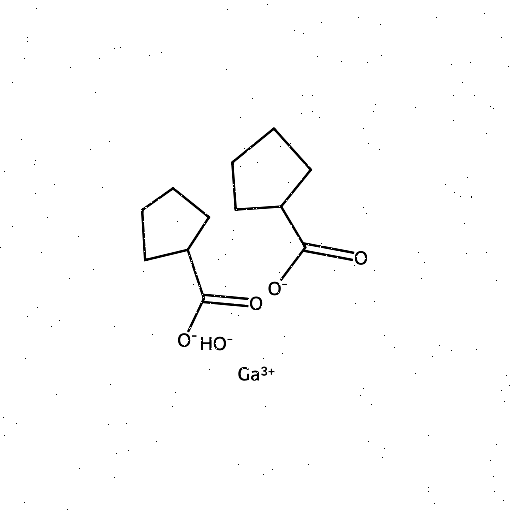 O=C([O-])C1CCCC1.O=C([O-])C1CCCC1.[Ga+3].[OH-]